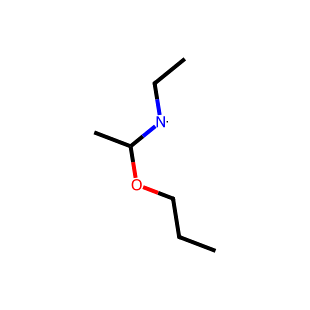 CCCOC(C)[N]CC